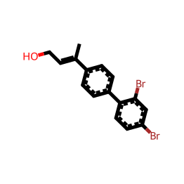 CC(=CCO)c1ccc(-c2ccc(Br)cc2Br)cc1